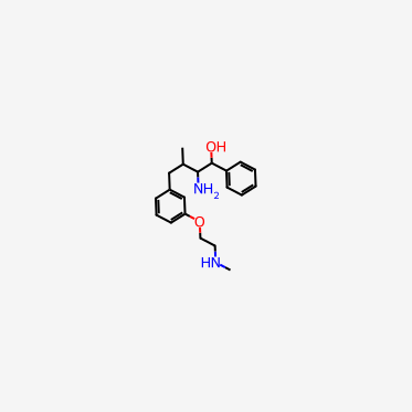 CNCCOc1cccc(CC(C)C(N)C(O)c2ccccc2)c1